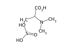 CC(C(=O)O)N(C)C.O=S(O)O